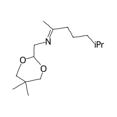 C/C(CCCC(C)C)=N\CC1OCC(C)(C)CO1